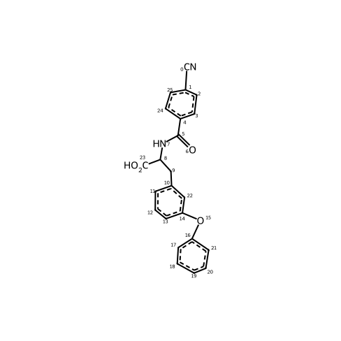 N#Cc1ccc(C(=O)NC(Cc2cccc(Oc3ccccc3)c2)C(=O)O)cc1